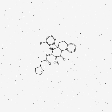 CN1C(=O)C2c3ccccc3CCC2(c2cccc(F)c2)N/C1=N/C(=O)CC1CCCC1